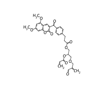 C=CC(=O)OC(COCC(=C)C=O)COC(=O)CCc1ccc(C(=O)c2cc3c(OC)cc(OC)cc3oc2=O)cc1